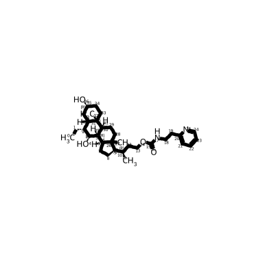 CC[C@H]1[C@@H](O)[C@@H]2[C@@H]3CC[C@H]([C@H](C)CCOC(=O)NCCc4ccccn4)C3(C)CC[C@@H]2[C@@]2(C)CC[C@@H](O)C[C@@H]12